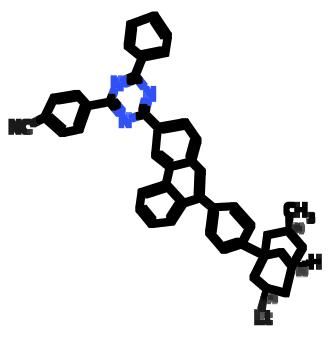 CC[C@@H]1C[C@@H]2C[C@H](C)CC(c3ccc(-c4cc5ccc(-c6nc(-c7ccccc7)nc(-c7ccc(C#N)cc7)n6)cc5c5ccccc45)cc3)(C1)C2